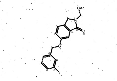 CC(=O)OCN1Cc2ccc(OCc3cccc(F)c3)cc2C1=O